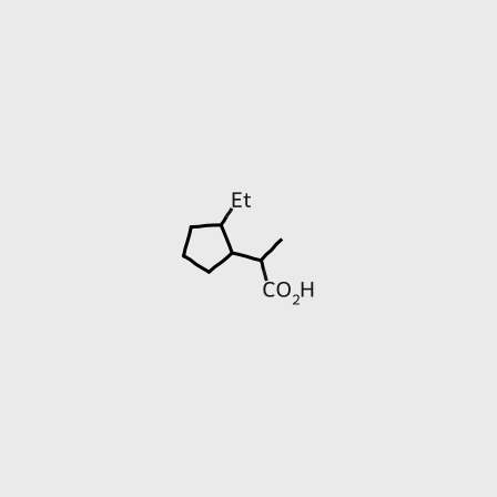 CCC1CCCC1C(C)C(=O)O